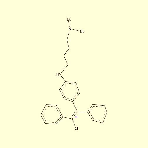 CCN(CC)CCCCNc1ccc(/C(=C(/Cl)c2ccccc2)c2ccccc2)cc1